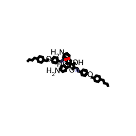 CCCCC1CCC(COc2ccc(/C=C/C(=O)C(O)C(Cc3ccc(N)cc3)(Cc3ccc(N)cc3)C(O)C(=O)/C=C/c3ccc(OCC4CCC(CCCC)CC4)cc3)cc2)CC1